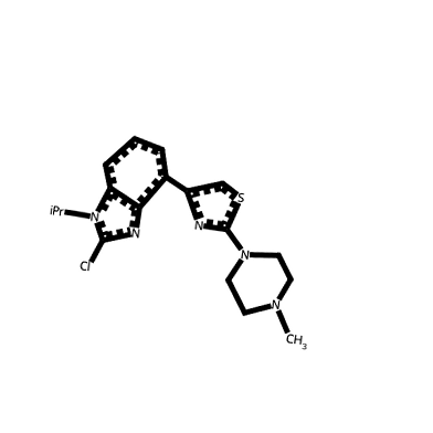 CC(C)n1c(Cl)nc2c(-c3csc(N4CCN(C)CC4)n3)cccc21